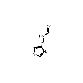 CNC=O.c1cscn1